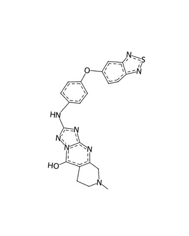 CN1CCc2c(nc3nc(Nc4ccc(Oc5ccc6nsnc6c5)cc4)nn3c2O)C1